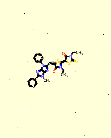 CCN1C(=O)/C(=c2\s/c(=C/c3nc4c(nc(-c5ccccc5)n4C)n3-c3ccccc3)c(=O)n2CC)SC1=S